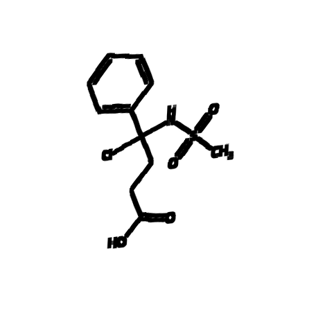 CS(=O)(=O)NC(Cl)(CCC(=O)O)c1ccccc1